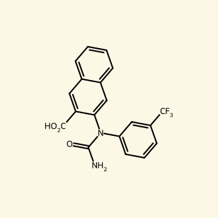 NC(=O)N(c1cccc(C(F)(F)F)c1)c1cc2ccccc2cc1C(=O)O